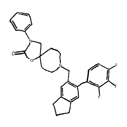 O=C1OC2(CCN(Cc3cc4c(cc3-c3ccc(F)c(F)c3F)CCC4)CC2)CN1c1ccccc1